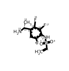 C=CS(=O)(=O)Nc1c(F)cc([C@@H](C)N)c(F)c1F